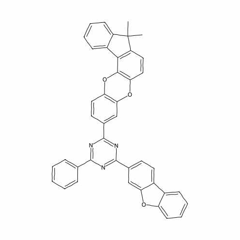 CC1(C)c2ccccc2-c2c1ccc1c2Oc2ccc(-c3nc(-c4ccccc4)nc(-c4ccc5c(c4)oc4ccccc45)n3)cc2O1